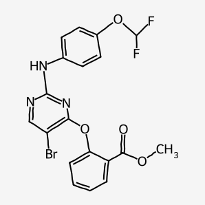 COC(=O)c1ccccc1Oc1nc(Nc2ccc(OC(F)F)cc2)ncc1Br